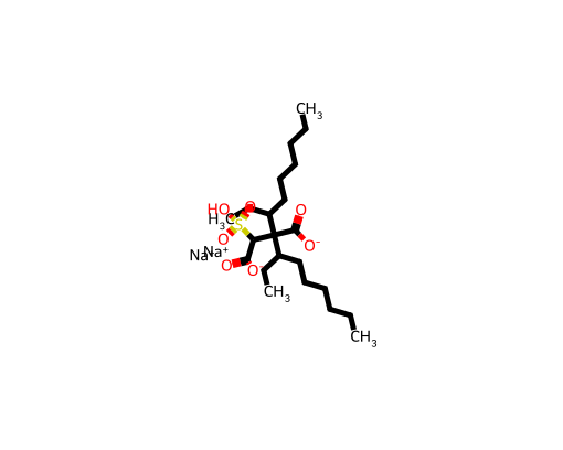 CCCCCCC(CC)C(C(=O)[O-])(C(CC)CCCCCC)C(C(=O)[O-])S(=O)(=O)O.[Na+].[Na+]